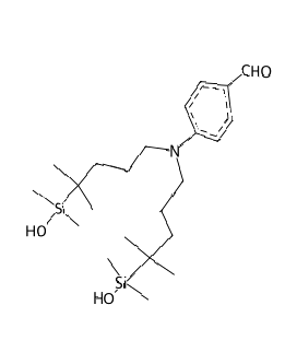 CC(C)(CCCN(CCCC(C)(C)[Si](C)(C)O)c1ccc(C=O)cc1)[Si](C)(C)O